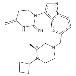 C[C@H]1CN(Cc2ccn3ncc(N4CCC(=O)NC4=P)c3c2)CCN1C1CCC1